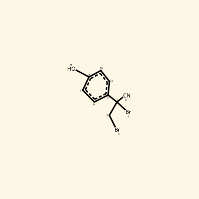 N#CC(Br)(CBr)c1ccc(O)cc1